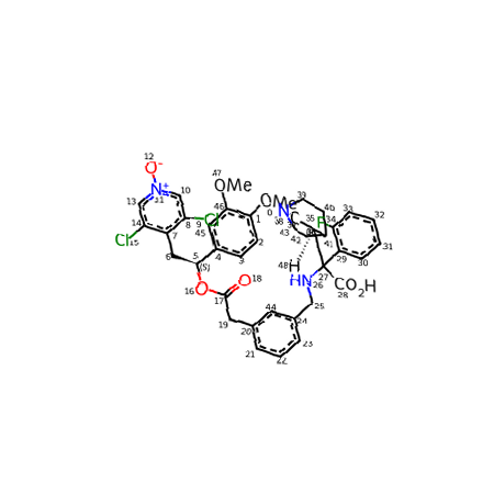 COc1ccc([C@H](Cc2c(Cl)c[n+]([O-])cc2Cl)OC(=O)Cc2cccc(CNC(C(=O)O)(c3ccccc3F)[C@H]3CN4CCC3CC4)c2)cc1OC